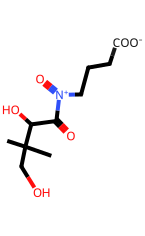 CC(C)(CO)C(O)C(=O)[N+](=O)CCCC(=O)[O-]